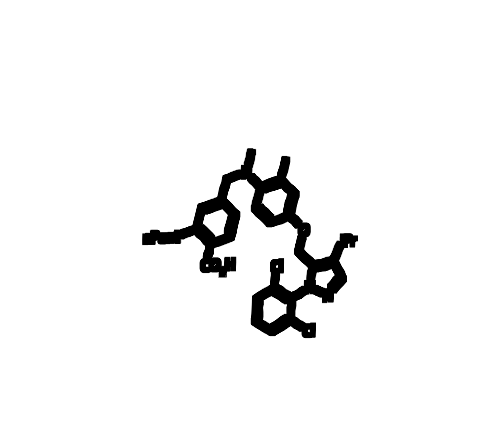 CCCCCc1cc(CN(C)c2ccc(OCc3c(C(C)C)cnn3-c3c(Cl)cccc3Cl)cc2C)ccc1C(=O)O